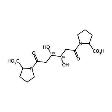 O=C(O)C1CCCN1C(=O)C[C@H](O)[C@@H](O)CC(=O)N1CCCC1C(=O)O